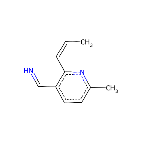 C/C=C\c1nc(C)ccc1C=N